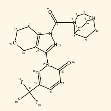 O=C(N1CCN2CCC1CC2)n1nc(-n2nc(C(F)(F)F)ccc2=O)c2c1CCOC2